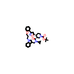 COCCCn1cc(CN(C(=O)[C@H]2CN(C(=O)OC(C)(C)C)CC[C@@H]2c2cc(-c3ccccc3)no2)C2CC2)c2ccccc21